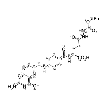 CC(C)(C)OC(=O)NNC(=O)CC[C@H](NC(=O)c1ccc(NCc2cnc3nc(N)nc(O)c3n2)cc1)C(=O)O